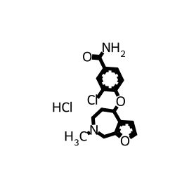 CN1CCC(Oc2ccc(C(N)=O)cc2Cl)c2ccoc2C1.Cl